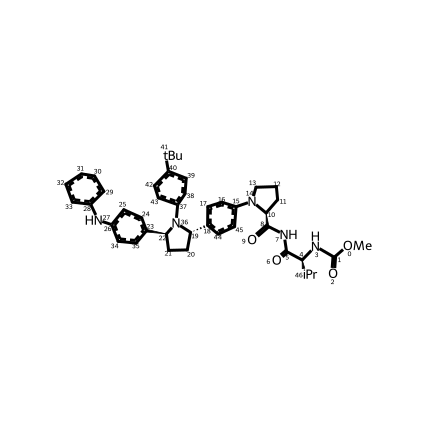 COC(=O)N[C@H](C(=O)NC(=O)[C@@H]1CCCN1c1ccc([C@@H]2CC[C@@H](c3ccc(Nc4ccccc4)cc3)N2c2ccc(C(C)(C)C)cc2)cc1)C(C)C